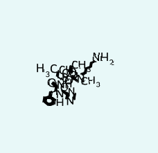 CCC(=O)OB(OC(=O)CN(C)CCCCCCN)[C@H](CC(C)C)NC(=O)[C@H](Cc1ccccc1)NC(=O)c1cnccn1